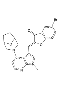 Cn1cc(C=C2Oc3ccc(Br)cc3C2=O)c2c(N3CC4CCC(C3)O4)ccnc21